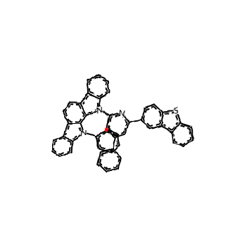 c1ccc(-c2cc(-c3ccc4sc5ccccc5c4c3)nc(-n3c4ccccc4c4ccc5c6ccccc6n(-c6ccccc6)c5c43)c2)cc1